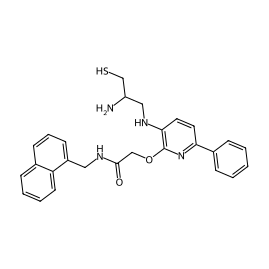 NC(CS)CNc1ccc(-c2ccccc2)nc1OCC(=O)NCc1cccc2ccccc12